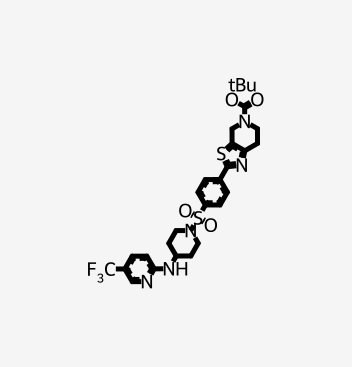 CC(C)(C)OC(=O)N1CCc2nc(-c3ccc(S(=O)(=O)N4CCC(Nc5ccc(C(F)(F)F)cn5)CC4)cc3)sc2C1